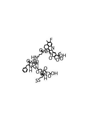 CC[C@@]1(O)C(=O)OCc2c1cc1n(c2=O)Cc2c-1nc1cc(F)c(C)c3c1c2[C@@H](NC(=O)CCCNC(=O)CNC(=O)[C@H](Cc1ccccc1)NC(=O)CNC(=O)CNC(=O)[C@H](CC(=O)O)NC(=O)CCSSC)CC3